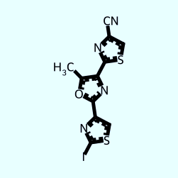 Cc1oc(-c2csc(I)n2)nc1-c1nc(C#N)cs1